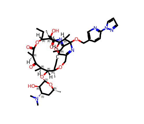 CC[C@H]1OC(=O)[C@H](C)C(=O)[C@H](C)[C@@H](O[C@@H]2O[C@H](C)C[C@H](N(C)C)[C@H]2O)[C@@]2(C)C[C@@H](C)/C(=N\C(C)=O)C3(OCc4ccc(-n5cccn5)nc4)N=C(CO[C@H]([C@H]3C)[C@]1(C)O)CO2